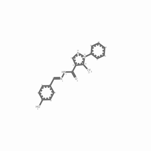 O=C(NN=Cc1ccc(O)cc1)c1cnn(-c2ccccc2)c1C(F)(F)F